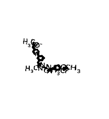 Cc1nc(-c2nc(-c3ccc(OC(C)(C)F)cc3)no2)nn1Cc1cccc(N2CCC(C[S+](C)[O-])CC2)c1